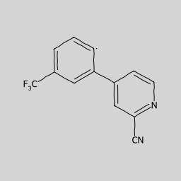 N#Cc1cc(-c2[c]ccc(C(F)(F)F)c2)ccn1